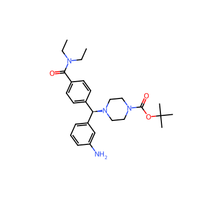 CCN(CC)C(=O)c1ccc([C@H](c2cccc(N)c2)N2CCN(C(=O)OC(C)(C)C)CC2)cc1